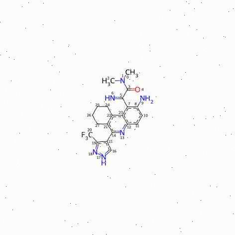 CN(C)C(=O)C(=N)c1c(N)ccc2nc(-c3c[nH]nc3C(F)(F)F)c3c(c12)CCCC3